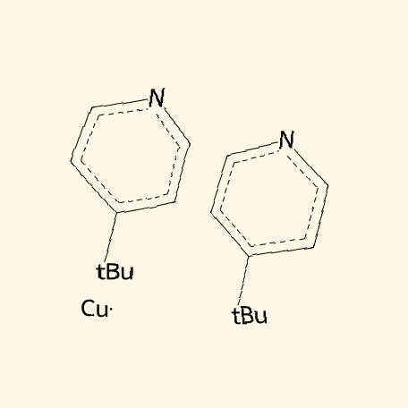 CC(C)(C)c1ccncc1.CC(C)(C)c1ccncc1.[Cu]